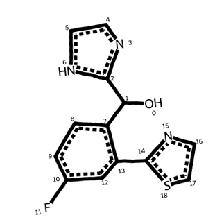 OC(c1ncc[nH]1)c1ccc(F)cc1-c1nccs1